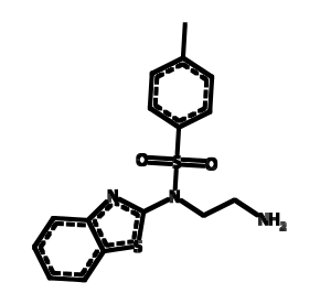 Cc1ccc(S(=O)(=O)N(CCN)c2nc3ccccc3s2)cc1